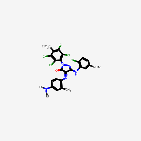 CCOC(=O)c1c(Cl)c(Cl)c(N2N=C(Nc3cc(NC(C)=O)ccc3Cl)/C(=N/c3ccc(N(CC)CC)cc3C)C2=O)c(Cl)c1Cl